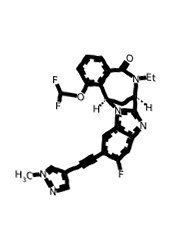 CCN1C(=O)c2cccc(OC(F)F)c2[C@H]2C[C@@H]1c1nc3cc(F)c(C#Cc4cnn(C)c4)cc3n12